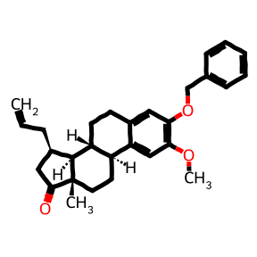 C=CC[C@@H]1CC(=O)[C@@]2(C)CC[C@@H]3c4cc(OC)c(OCc5ccccc5)cc4CC[C@H]3[C@H]12